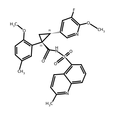 COc1ccc(C)cc1[C@]1(C(=O)NS(=O)(=O)c2cccc3nc(C)ccc23)C[C@@H]1c1cnc(OC)c(F)c1